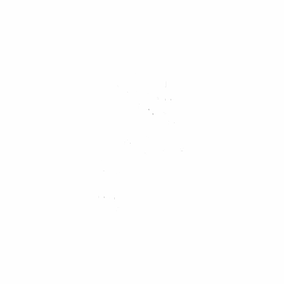 O=C(O)Cc1cccc(Oc2ccc(Br)cc2CN2C(=O)O[C@@H]3Cc4ccccc4[C@@H]32)c1